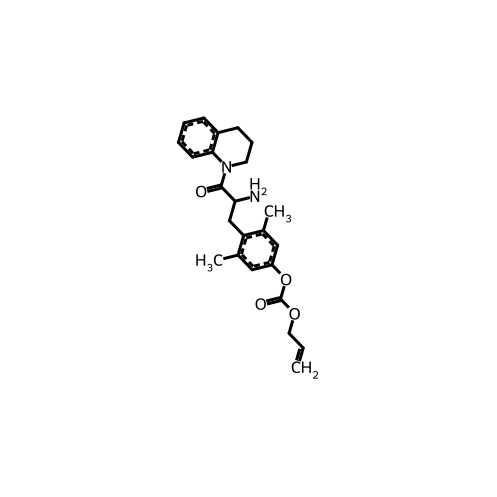 C=CCOC(=O)Oc1cc(C)c(CC(N)C(=O)N2CCCc3ccccc32)c(C)c1